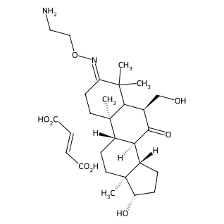 CC1(C)/C(=N/OCCN)CC[C@@]2(C)C1[C@@H](CO)C(=O)[C@H]1[C@@H]3CC[C@H](O)[C@@]3(C)CC[C@@H]12.O=C(O)/C=C/C(=O)O